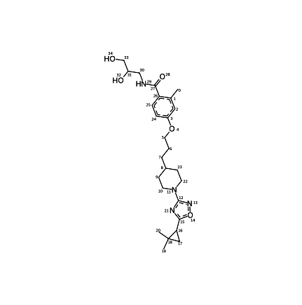 Cc1cc(OCCCC2CCN(c3noc(C4CC4(C)C)n3)CC2)ccc1C(=O)NCC(O)CO